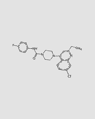 COCc1cc(N2CCN(C(=O)Nc3ccc(F)cc3)CC2)c2ccc(Cl)cc2n1